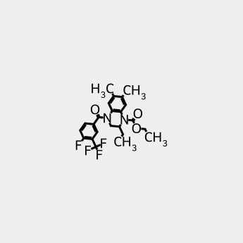 CCOC(=O)N1c2cc(C)c(C)cc2N(C(=O)c2ccc(F)c(C(F)(F)F)c2)CC1CC